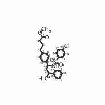 COC(=O)CCCc1ccc(C(CC(C)c2ccccc2)NS(=O)(=O)c2ccc(Cl)cc2)cc1